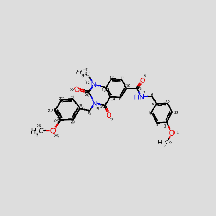 COc1ccc(CNC(=O)c2ccc3c(c2)c(=O)n(Cc2cccc(OC)c2)c(=O)n3C)cc1